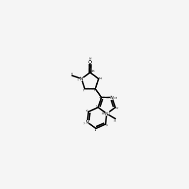 CN1CC(C2=C3C=NC=C[N+]3(C)C=N2)CC1=O